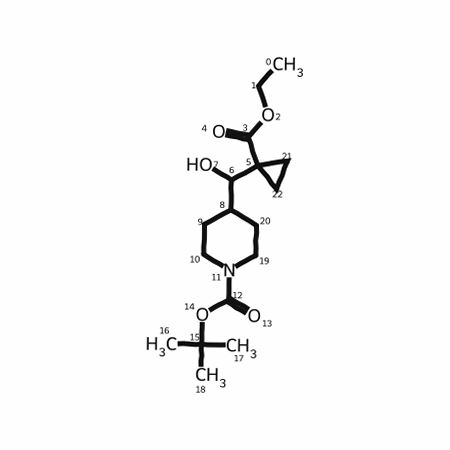 CCOC(=O)C1(C(O)C2CCN(C(=O)OC(C)(C)C)CC2)CC1